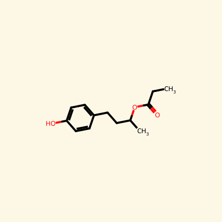 CCC(=O)OC(C)CCc1ccc(O)cc1